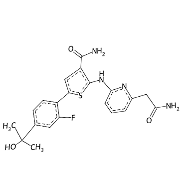 CC(C)(O)c1ccc(-c2cc(C(N)=O)c(Nc3cccc(CC(N)=O)n3)s2)c(F)c1